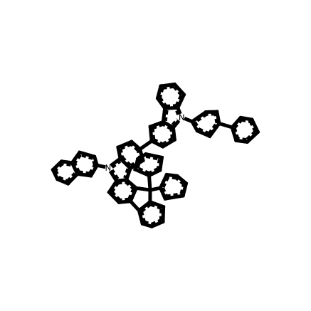 c1ccc(-c2ccc(-n3c4ccccc4c4cc(-c5ccc6c(c5)c5c7c(ccc5n6-c5ccc6ccccc6c5)-c5ccccc5C7(c5ccccc5)c5ccccc5)ccc43)cc2)cc1